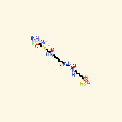 N[C@@H](CSSCCC(=O)NCCCCCC(=O)NCCOC(=O)NCCCCCCO[PH](=O)S)C(=O)BB(F)NI